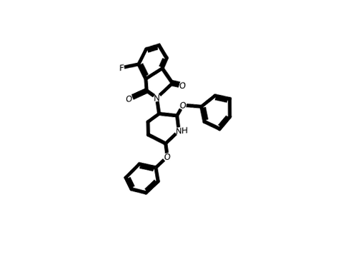 O=C1c2cccc(F)c2C(=O)N1C1CCC(Oc2ccccc2)NC1Oc1ccccc1